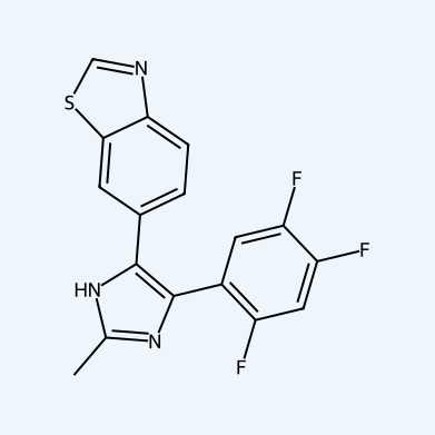 Cc1nc(-c2cc(F)c(F)cc2F)c(-c2ccc3ncsc3c2)[nH]1